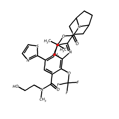 CN(CCO)C(=O)c1cc(-c2nccs2)c2oc(N3CC4CCC(C3)N4C(=O)OC(C)(C)C)nc2c1OC(F)(F)F